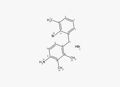 Br.Cc1cccc(Cc2ccc(N)c(C)c2C)c1Br